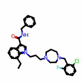 CCc1cccc2c(C(=O)NCc3ccccc3)cn(CCCN3CCCN(Cc4c(F)cccc4Cl)CC3)c12